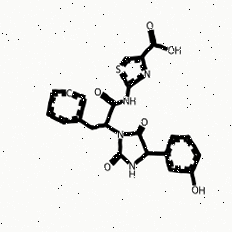 O=C(O)c1csc(NC(=O)C(Cc2ccccc2)N2C(=O)NC(c3cccc(O)c3)C2=O)n1